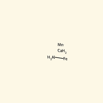 [AlH2][Fe].[CaH2].[Mn]